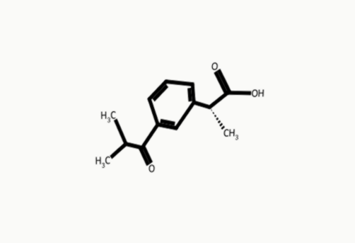 CC(C)C(=O)c1cccc([C@@H](C)C(=O)O)c1